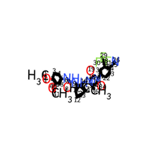 COc1ccc(NC(=O)Nc2ccccc2CN2C(=O)N(c3ccc(C#N)c(C(F)(F)F)c3)C(=O)C2(C)C)cc1OC